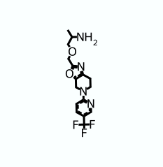 CC(N)COCc1nc2c(o1)CN(c1ccc(C(F)(F)F)cn1)CC2